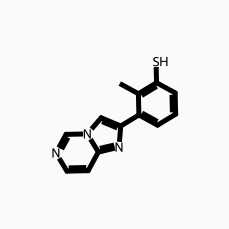 Cc1c(S)cccc1-c1cn2cnccc2n1